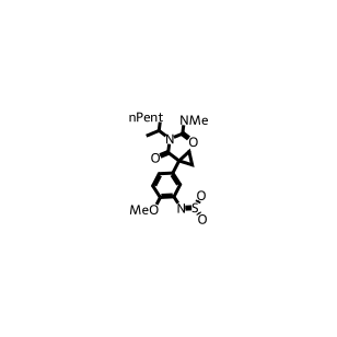 CCCCCC(C)N(C(=O)NC)C(=O)C1(c2ccc(OC)c(N=S(=O)=O)c2)CC1